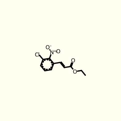 CCOC(=O)/C=C/c1cccc(Cl)c1[N+](=O)[O-]